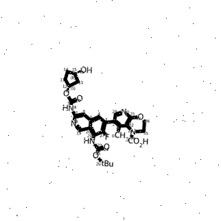 Cc1c(-c2cc3cc(NC(=O)O[C@H]4CC[C@@H](O)C4)ncc3c(NC(=O)OC(C)(C)C)c2F)cnc2c1N(C(=O)O)CCO2